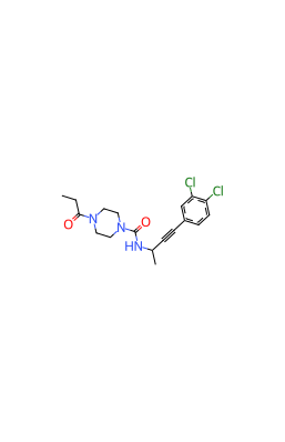 CCC(=O)N1CCN(C(=O)NC(C)C#Cc2ccc(Cl)c(Cl)c2)CC1